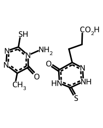 Cc1nnc(S)n(N)c1=O.O=C(O)CCc1n[nH]c(=S)[nH]c1=O